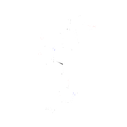 O=C(O)c1cnc(OCC[C@H]2COC(=O)N2c2ccc3c(c2)CCC3O)o1